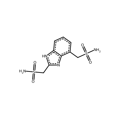 NS(=O)(=O)Cc1nc2c(CS(N)(=O)=O)cccc2[nH]1